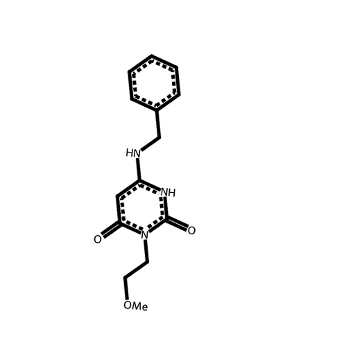 COCCn1c(=O)cc(NCc2ccccc2)[nH]c1=O